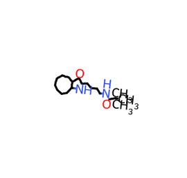 CC(C)(C)C(=O)NCCCCC1NC2CCCCCCCC2C1=O